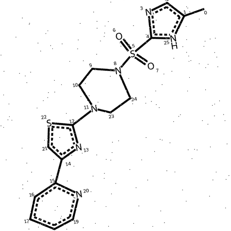 Cc1cnc(S(=O)(=O)N2CCN(c3nc(-c4ccccn4)cs3)CC2)[nH]1